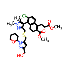 COC(=O)CCC1=C(C(=O)OC)CCc2c1ccc(Cl)c2-c1c(CSCc2cc(CO)nn2C2CCCCO2)nn(C)c1C